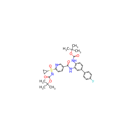 CC(C)(C)OC(=O)N=S(=O)(c1ccc(C(=O)Nc2cc(-c3ccc(F)cc3)ccc2NC(=O)OC(C)(C)C)cn1)C1CC1